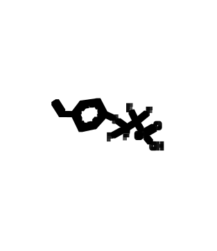 C=Cc1ccc(SC(F)(F)C(F)(F)S(=O)(=O)O)cc1